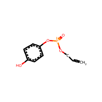 C=CCO[PH](=O)Oc1ccc(O)cc1